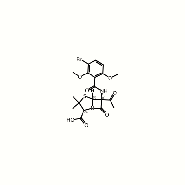 COc1ccc(Br)c(OC)c1C(=O)N[C@@]1(C(C)=O)C(=O)N2[C@@H](C(=O)O)C(C)(C)S[C@@H]21